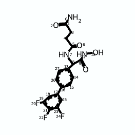 NC(=O)CCC(=O)NC(C(=O)NO)c1ccc(-c2cc(F)c(F)c(F)c2)cc1